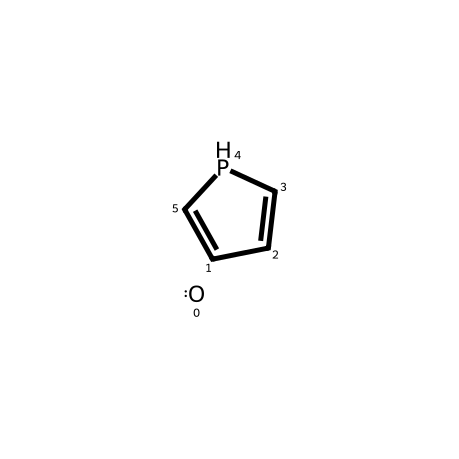 [O].c1cc[pH]c1